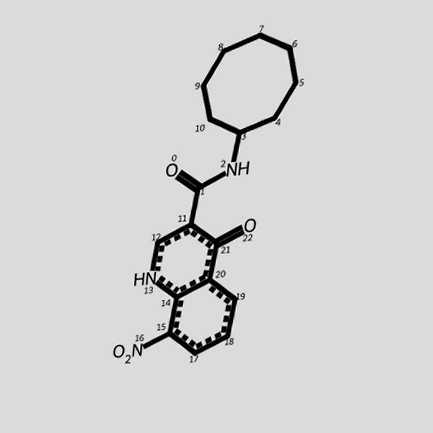 O=C(NC1CCCCCCC1)c1c[nH]c2c([N+](=O)[O-])cccc2c1=O